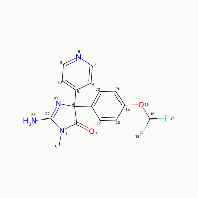 CN1C(=O)C(c2ccncc2)(c2ccc(OC(F)F)cc2)N=C1N